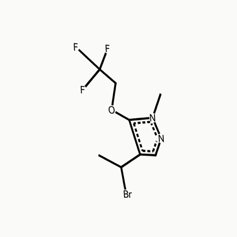 CC(Br)c1cnn(C)c1OCC(F)(F)F